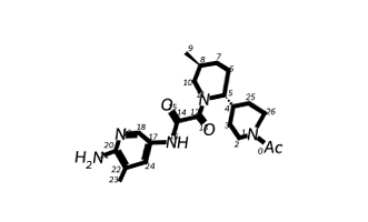 CC(=O)N1CCC([C@H]2CC[C@H](C)CN2C(=O)C(=O)Nc2cnc(N)c(C)c2)CC1